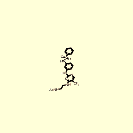 CC(=O)NCCNc1nc(Nc2cccc(NS(=O)(=O)c3ccccc3)c2)ncc1C(F)(F)F